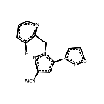 CNc1cc(-c2ccon2)n(Cc2ncccc2F)n1